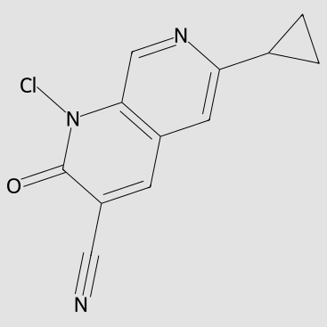 N#Cc1cc2cc(C3CC3)ncc2n(Cl)c1=O